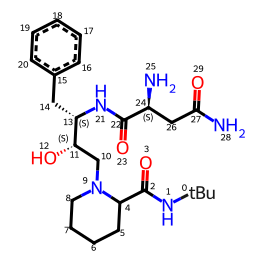 CC(C)(C)NC(=O)C1CCCCN1C[C@H](O)[C@H](Cc1ccccc1)NC(=O)[C@@H](N)CC(N)=O